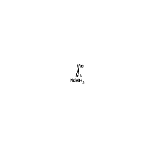 [AlH3].[Mo][Mo].[Nd]